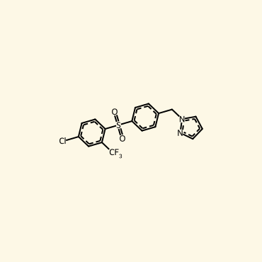 O=S(=O)(c1ccc(Cn2cccn2)cc1)c1ccc(Cl)cc1C(F)(F)F